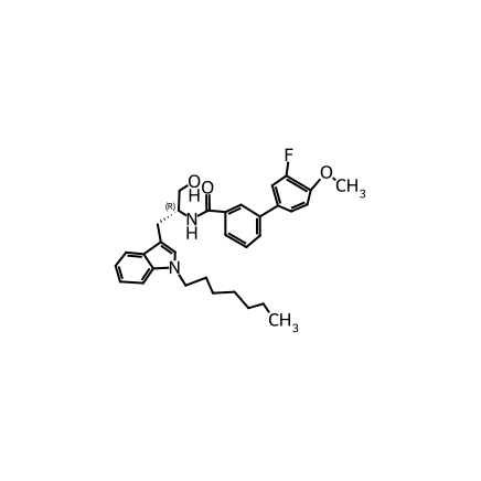 CCCCCCCn1cc(C[C@H](CO)NC(=O)c2cccc(-c3ccc(OC)c(F)c3)c2)c2ccccc21